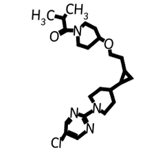 CC(C)C(=O)N1CCC(OCCC2CC2C2CCN(c3ncc(Cl)cn3)CC2)CC1